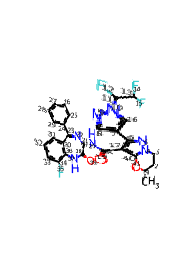 C[C@H]1CCn2nc(-c3cnn(C(F)C(F)F)c3)c(C(=O)N[C@H]3N=C(c4ccccc4)c4cccc(F)c4NC3=O)c2O1